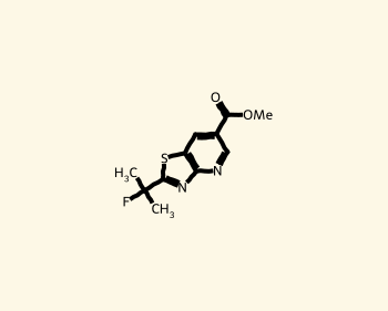 COC(=O)c1cnc2nc(C(C)(C)F)sc2c1